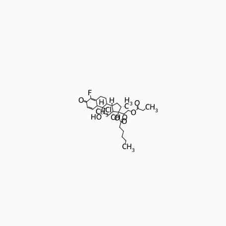 CCCCCC(=O)O[C@]1(C(=O)COC(=O)CC)[C@@H](C)C[C@H]2[C@@H]3CCC4=C(F)C(=O)C=C[C@]4(C)[C@@]3(Cl)[C@@H](O)C[C@@]21C